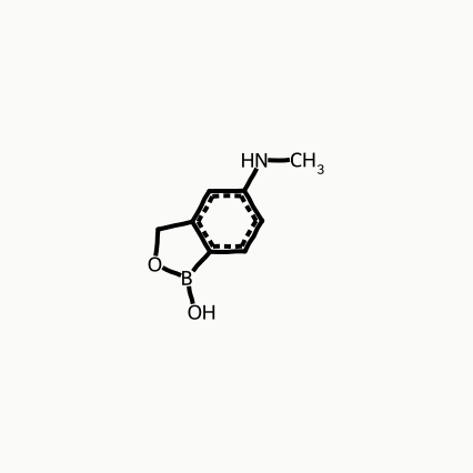 CNc1ccc2c(c1)COB2O